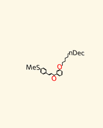 CCCCCCCCCCCCCCCCOc1cccc(C(=O)C=Cc2ccc(SC)cc2)c1